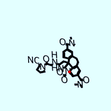 CN(C)C(=O)c1ccc2c(c1)CCc1cc(C(=O)N(C)C)ccc1C2(CCNCC(=O)N1CCCC1C#N)c1nc(=O)o[nH]1